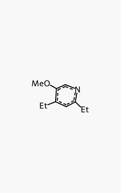 CCc1cc(CC)c(OC)cn1